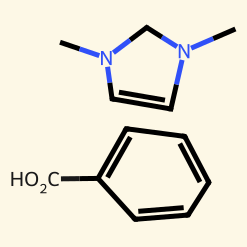 CN1C=CN(C)C1.O=C(O)c1ccccc1